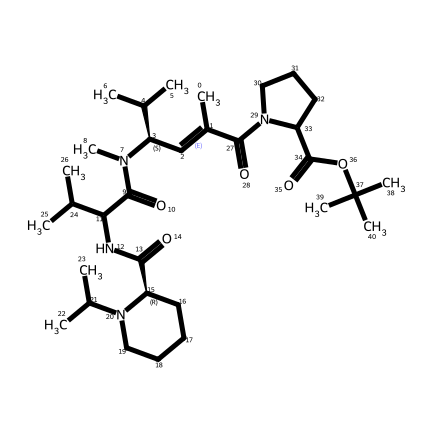 C/C(=C\[C@H](C(C)C)N(C)C(=O)C(NC(=O)[C@H]1CCCCN1C(C)C)C(C)C)C(=O)N1CCCC1C(=O)OC(C)(C)C